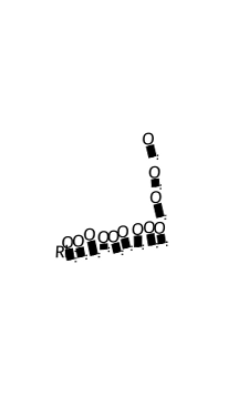 [C]=O.[C]=O.[C]=O.[C]=O.[C]=O.[C]=O.[C]=O.[C]=O.[C]=O.[C]=O.[C]=O.[C]=O.[Rh]